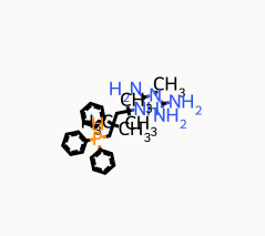 CN(C(N)N)C(N)NC(C)(C)CC(C)(C)C[PH](c1ccccc1)(c1ccccc1)c1ccccc1